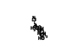 C[C@]12CC[C@@H](O)C[C@H]1CC[C@@H]1[C@@H]2CC[C@]2(C)[C@@H](C(=O)C=Cc3ccncc3)CC[C@@H]12